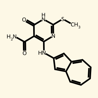 CSc1nc(Nc2cc3cccccc-3c2)c(C(N)=O)c(=O)[nH]1